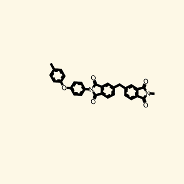 Cc1ccc(Oc2ccc(N3C(=O)c4ccc(Cc5ccc6c(c5)C(=O)N(C)C6=O)cc4C3=O)cc2)cc1